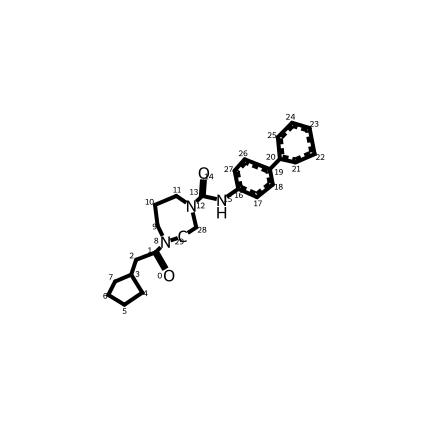 O=C(CC1CCCC1)N1CCCN(C(=O)Nc2ccc(-c3ccccc3)cc2)CC1